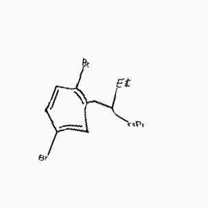 CCCC(CC)c1cc(Br)ccc1Br